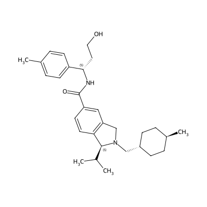 Cc1ccc([C@H](CCO)NC(=O)c2ccc3c(c2)CN(C[C@H]2CC[C@H](C)CC2)[C@H]3C(C)C)cc1